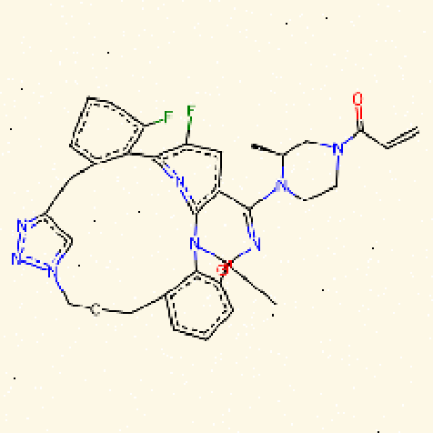 C=CC(=O)N1CCN(C2=NC3OC(C)c4cccc5c4N3c3nc(c(F)cc32)-c2c(F)cccc2Cc2cn(nn2)CCC5)[C@@H](C)C1